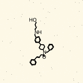 O=C(CC=Cc1ccccc1)N(Cc1ccccc1)C1CCC(c2ccc(CNCCCCO)cc2)CC1